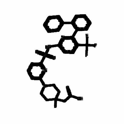 CC1(CC(=O)O)CCN(c2cccc(S(=O)(=O)Nc3ccc(C(F)(F)F)c(-c4ccccc4-c4ccccc4)n3)n2)CC1